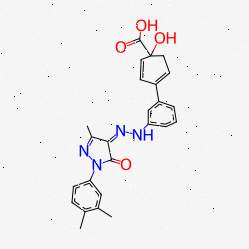 CC1=NN(c2ccc(C)c(C)c2)C(=O)C1=NNc1cccc(C2=CCC(O)(C(=O)O)C=C2)c1